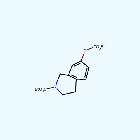 CCOC(=O)Oc1ccc2c(c1)CN(C(=O)OCC)CC2